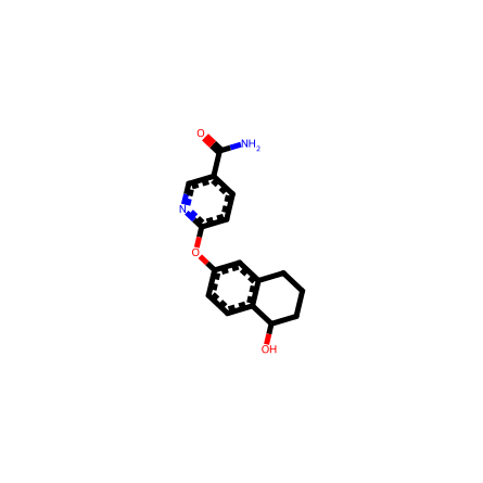 NC(=O)c1ccc(Oc2ccc3c(c2)CCCC3O)nc1